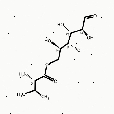 CC(C)[C@H](N)C(=O)OC[C@@H](O)[C@@H](O)[C@H](O)[C@H](O)C=O